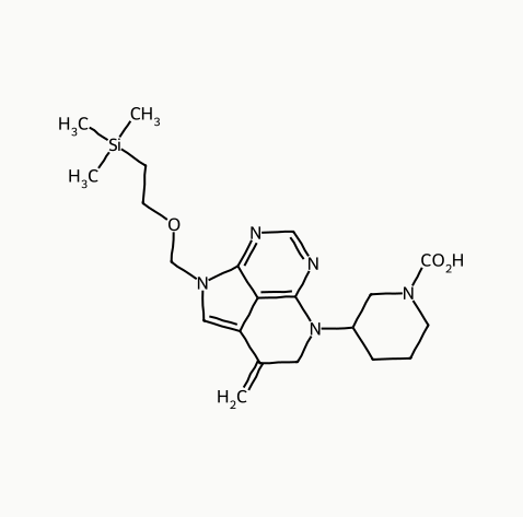 C=C1CN(C2CCCN(C(=O)O)C2)c2ncnc3c2c1cn3COCC[Si](C)(C)C